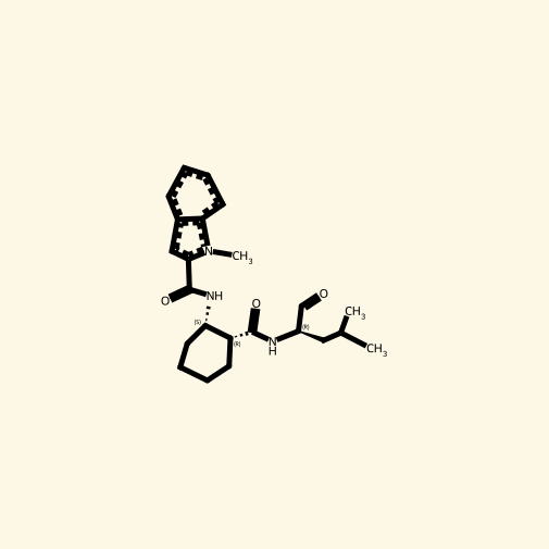 CC(C)C[C@H](C=O)NC(=O)[C@@H]1CCCC[C@@H]1NC(=O)c1cc2ccccc2n1C